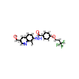 Cc1c(NC(=O)c2ccc(OCCC(F)(F)F)cc2)ccc2cc(C=O)cnc12